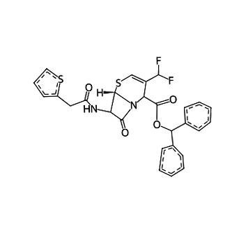 O=C(Cc1cccs1)NC1C(=O)N2C(C(=O)OC(c3ccccc3)c3ccccc3)C(C(F)F)=CS[C@@H]12